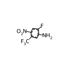 Nc1cc(C(F)(F)F)c([N+](=O)[O-])cc1F